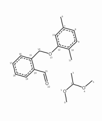 COC(C)OC.Cc1ccc(C)c(OCc2ccccc2C=O)c1